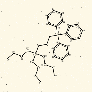 CCOO[Si](CCC[PH](c1ccccc1)(c1ccccc1)c1ccccc1)(OOCC)OOCC